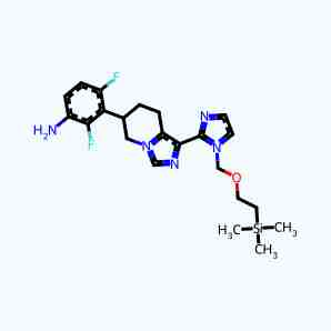 C[Si](C)(C)CCOCn1ccnc1-c1ncn2c1CCC(c1c(F)ccc(N)c1F)C2